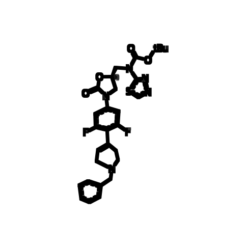 CC(C)(C)OC(=O)N(C[C@H]1CN(c2cc(F)c(C3=CCN(Cc4ccccc4)CC3)c(F)c2)C(=O)O1)c1nncs1